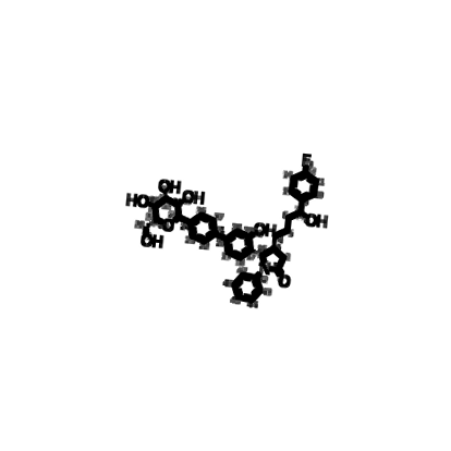 O=C1C[C@H](CCC[C@H](O)c2ccc(F)cc2)[C@@H](c2ccc(-c3ccc(C4O[C@H](CO)[C@@H](O)[C@H](O)[C@H]4O)cc3)cc2O)N1c1ccccc1